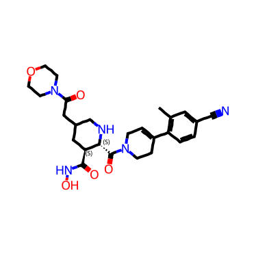 Cc1cc(C#N)ccc1C1=CCN(C(=O)[C@H]2NCC(CC(=O)N3CCOCC3)C[C@@H]2C(=O)NO)CC1